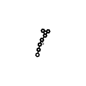 c1ccc2c(c1)c1ccccc1c1cc(-c3ccc4c(c3)sc3cc(-c5ccc(C6CCCCC6)cc5)ccc34)ccc21